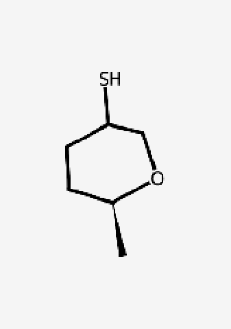 C[C@H]1CCC(S)CO1